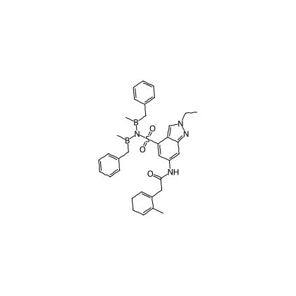 CCn1cc2c(S(=O)(=O)N(B(C)Cc3ccccc3)B(C)Cc3ccccc3)cc(NC(=O)CC3=CCCC=C3C)cc2n1